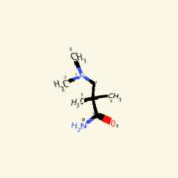 CN(C)CC(C)(C)C(N)=O